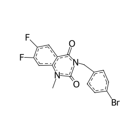 Cn1c(=O)n(Cc2ccc(Br)cc2)c(=O)c2cc(F)c(F)cc21